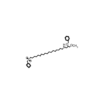 COCC(CNCCCCCCCCCCCCCCCCCCS(=O)(=O)Cc1ccccc1)OCc1ccccc1